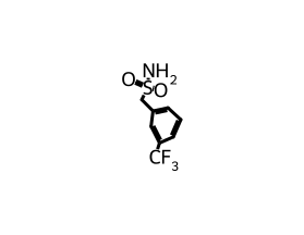 NS(=O)(=O)Cc1cccc(C(F)(F)F)c1